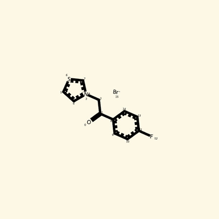 O=C(C[n+]1ccsc1)c1ccc(F)cc1.[Br-]